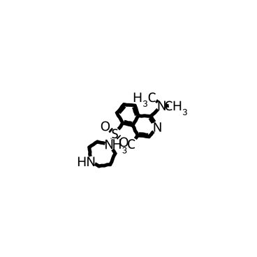 Cc1cnc(N(C)C)c2cccc(S(=O)(=O)N3CCCNCC3)c12